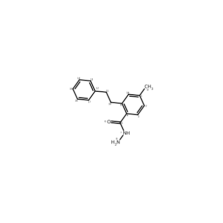 Cc1ccc(C(=O)NN)c(CCc2ccccc2)c1